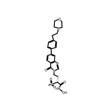 CS(=O)(=O)[C@H](CCn1cnc2cc(-c3ccc(CCN4CCOCC4)cc3)ccc2c1=O)C(=O)NO